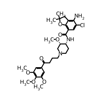 COc1cc(C(=O)CCCN2CC[C@@H](NC(=O)c3cc(Cl)c(N)c4c3OC(C)(C)C4)[C@@H](OC)C2)cc(OC)c1OC